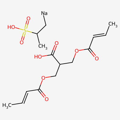 CC([CH2][Na])S(=O)(=O)O.CC=CC(=O)OCC(COC(=O)C=CC)C(=O)O